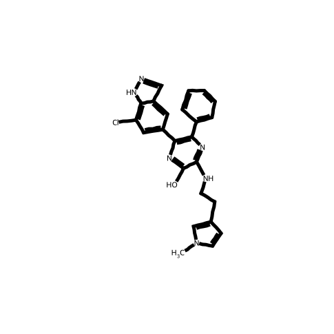 Cn1ccc(CCNc2nc(-c3ccccc3)c(-c3cc(Cl)c4[nH]ncc4c3)nc2O)c1